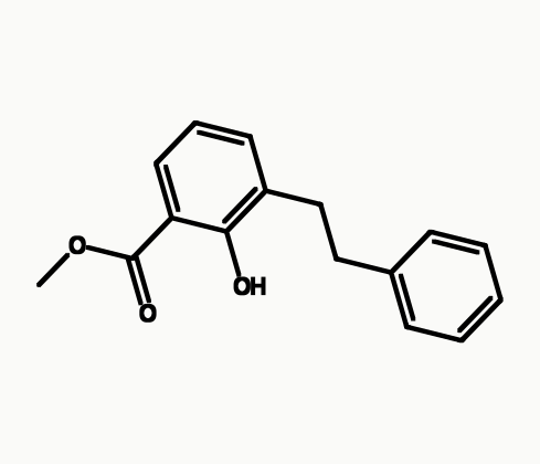 COC(=O)c1cccc(CCc2ccccc2)c1O